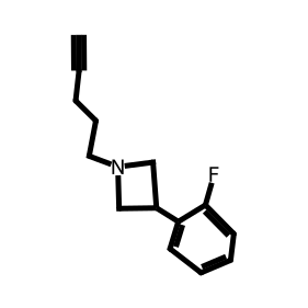 C#CCCCN1CC(c2ccccc2F)C1